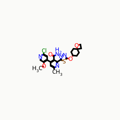 COc1cnc(Cl)cc1-c1cc(C)nc(-c2nnc(OC3CCC4(CCO4)CC3)s2)c1C(N)=O